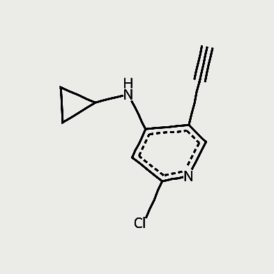 C#Cc1cnc(Cl)cc1NC1CC1